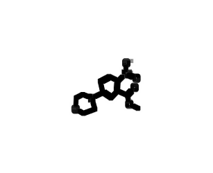 COC(=O)c1cc(N2CCOCC2)ccc1[N+](=O)[O-]